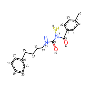 Cc1ccc(C(=O)N(S)C(=O)NCCCCc2ccccc2)cc1